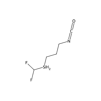 O=C=NCCC[SiH2]C(F)F